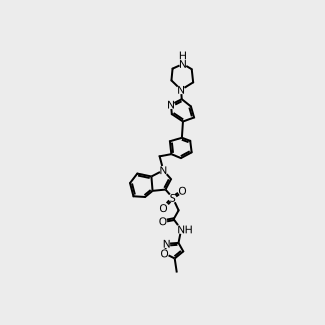 Cc1cc(NC(=O)CS(=O)(=O)c2cn(Cc3cccc(-c4ccc(N5CCNCC5)nc4)c3)c3ccccc23)no1